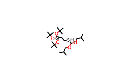 CC(C)COC(OCC(C)C)[SiH2]CC[Si](OC(C)(C)C)(OC(C)(C)C)OC(C)(C)C